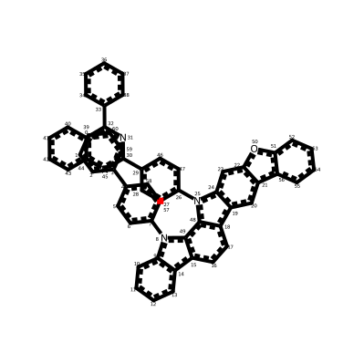 c1ccc(-c2ccc(-n3c4ccccc4c4ccc5c6cc7c(cc6n(-c6ccc(-c8nc(-c9ccccc9)c9ccccc9n8)cc6)c5c43)oc3ccccc37)cc2)cc1